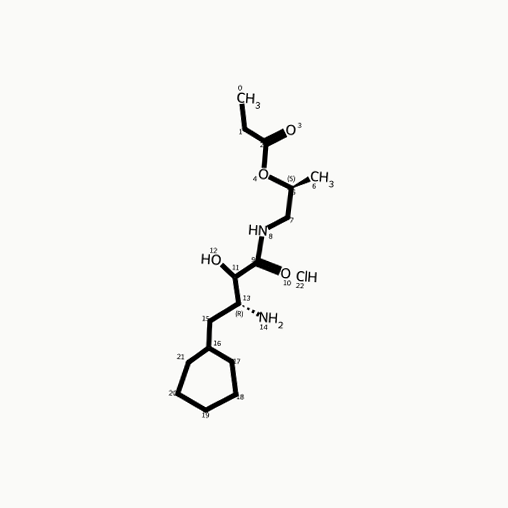 CCC(=O)O[C@@H](C)CNC(=O)C(O)[C@H](N)CC1CCCCC1.Cl